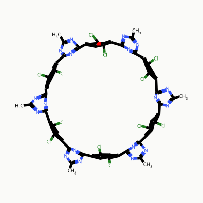 Cc1nc2nc(n1)c1cc(Cl)c(cc1Cl)c1nc(C)nc(n1)c1cc(Cl)c(cc1Cl)c1nc(C)nc(n1)c1cc(Cl)c(cc1Cl)c1nc(C)nc(n1)c1cc(Cl)c(cc1Cl)c1nc(C)nc(n1)c1cc(Cl)c(cc1Cl)c1nc(C)nc(n1)c1cc(Cl)c2cc1Cl